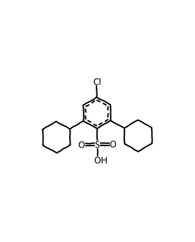 O=S(=O)(O)c1c(C2CCCCC2)cc(Cl)cc1C1CCCCC1